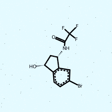 O=C(N[C@H]1C[C@@H](O)c2ccc(Br)cc21)C(F)(F)F